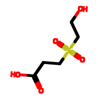 O=C(O)CCS(=O)(=O)CCO